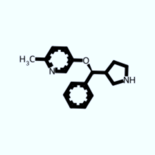 Cc1ccc(O[C@H](c2ccccc2)C2CCNC2)cn1